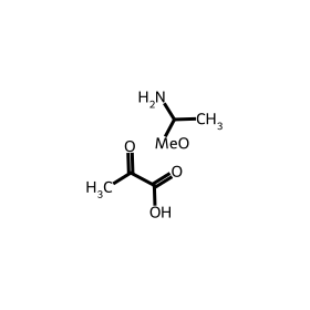 CC(=O)C(=O)O.COC(C)N